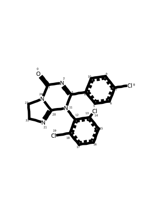 O=C1N=C(c2ccc(Cl)cc2)N(c2c(Cl)cccc2Cl)C2=NCCN12